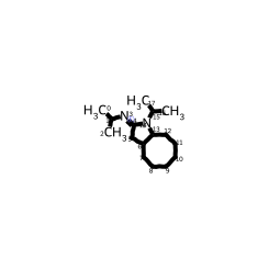 CC(C)/N=C1\CC2CCCCCCC2N1C(C)C